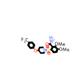 COc1ccc(S(=O)(=O)N2CCC(Oc3ccc(C(F)(F)F)cc3)CC2)c(C(N)=O)c1OC